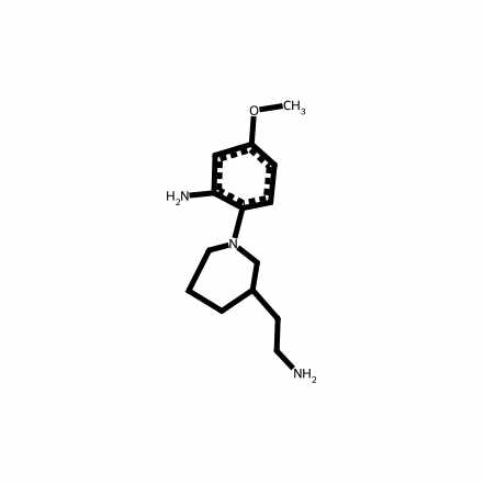 COc1ccc(N2CCCC(CCN)C2)c(N)c1